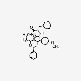 CNC(=O)[C@H](CC1CCCCC1)NC(=O)[C@]1([C@H](CCc2ccccc2)SC(C)=O)CC[C@H](OC)CC1